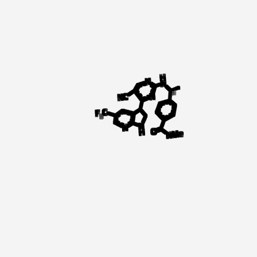 CNC(=O)c1ccc([C@H](C)Nc2ncc(C#N)c(C3CNc4ncc(C(F)(F)F)cc43)n2)cc1